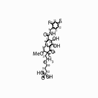 COC1CN2C=C(C(=O)NCc3ccc(F)cc3F)C(O)C(O)=C2C(=O)C1(C)CCOCCCP(=O)(O)O